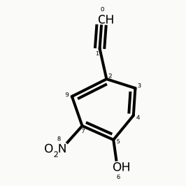 C#Cc1ccc(O)c([N+](=O)[O-])c1